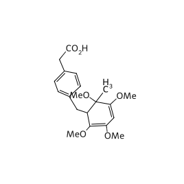 COC1=CC(OC)=C(OC)C(Cc2ccc(CC(=O)O)cc2)C1(C)OC